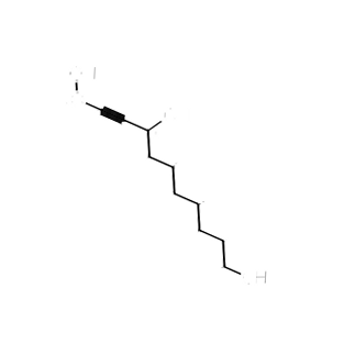 CCCCCCCCC(O)C#COO